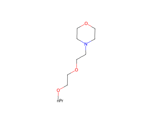 CCCOCCOCCN1CCOCC1